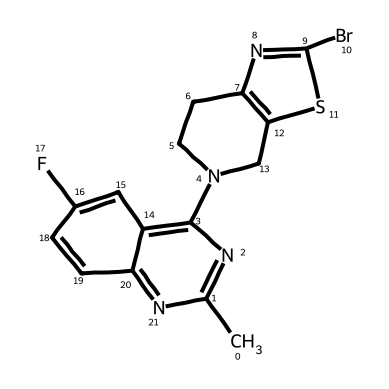 Cc1nc(N2CCc3nc(Br)sc3C2)c2cc(F)ccc2n1